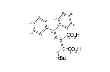 CC(C)(C)CC(C(=O)O)=C(C=C(c1ccccc1)c1ccccc1)C(=O)O